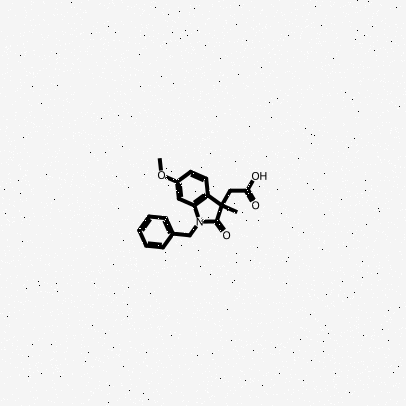 COc1ccc2c(c1)N(Cc1ccccc1)C(=O)C2(C)CC(=O)O